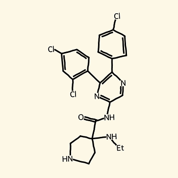 CCNC1(C(=O)Nc2cnc(-c3ccc(Cl)cc3)c(-c3ccc(Cl)cc3Cl)n2)CCNCC1